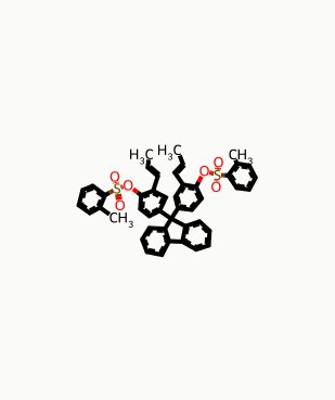 CC=Cc1cc(C2(c3ccc(OS(=O)(=O)c4ccccc4C)c(C=CC)c3)c3ccccc3-c3ccccc32)ccc1OS(=O)(=O)c1ccccc1C